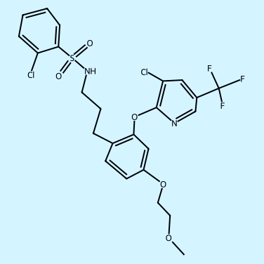 COCCOc1ccc(CCCNS(=O)(=O)c2ccccc2Cl)c(Oc2ncc(C(F)(F)F)cc2Cl)c1